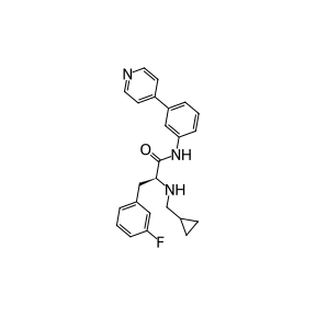 O=C(Nc1cccc(-c2ccncc2)c1)[C@H](Cc1cccc(F)c1)NCC1CC1